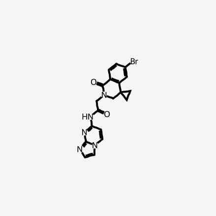 O=C(CN1CC2(CC2)c2cc(Br)ccc2C1=O)Nc1ccn2ccnc2n1